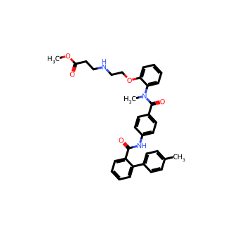 COC(=O)CCNCCOc1ccccc1N(C)C(=O)c1ccc(NC(=O)c2ccccc2-c2ccc(C)cc2)cc1